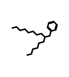 CCCCCCCCC(CCCCCC)Cc1ccccc1